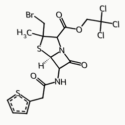 CC1(CBr)S[C@@H]2C(NC(=O)Cc3cccs3)C(=O)N2C1C(=O)OCC(Cl)(Cl)Cl